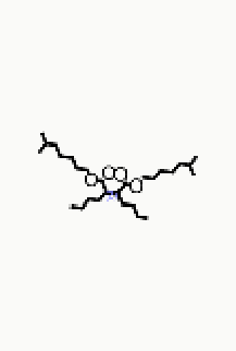 CCCC/C(C(=O)OCCCCCC(C)C)=C(\CCCC)C(=O)OCCCCCC(C)C